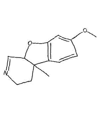 COc1ccc2c(c1)OC1C=NCCC21C